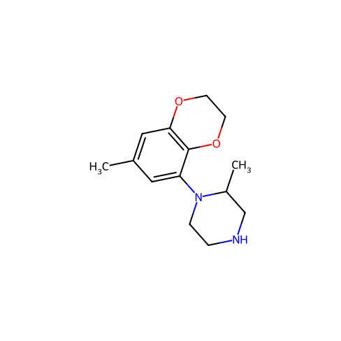 Cc1cc2c(c(N3CCNCC3C)c1)OCCO2